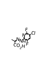 C/C(=N/Nc1nc(F)c(Cl)cc1F)C(=O)O